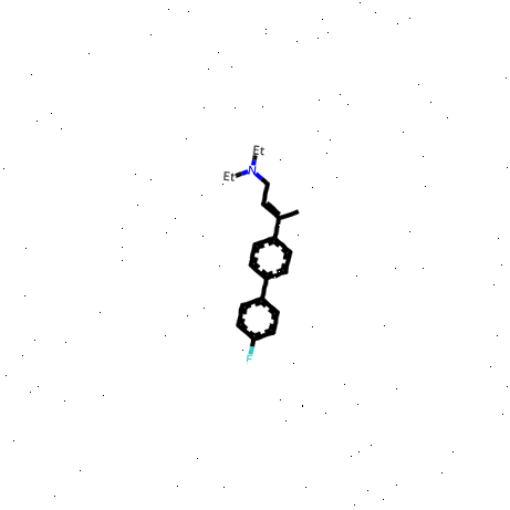 CCN(CC)CC=C(C)c1ccc(-c2ccc(F)cc2)cc1